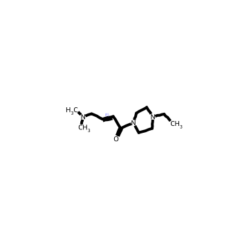 CCN1CCN(C(=O)/C=C/CN(C)C)CC1